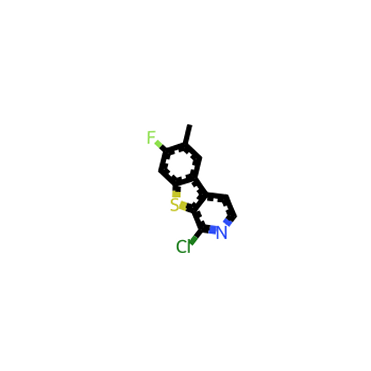 Cc1cc2c(cc1F)sc1c(Cl)nccc12